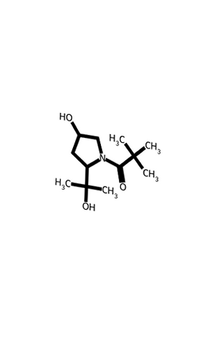 CC(C)(C)C(=O)N1CC(O)CC1C(C)(C)O